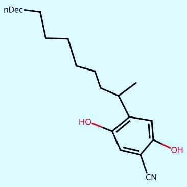 CCCCCCCCCCCCCCCCC(C)c1cc(O)c(C#N)cc1O